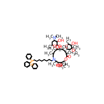 CC[C@H]1OC(=O)[C@H](C)[C@@H](C2C[C@@](C)(OC)[C@@H](O)[C@H](C)O2)[C@H](C)[C@@H](O[C@@H]2O[C@H](C)C[C@H](N(C)C)[C@H]2O)[C@](C)(O)C[C@@H](C)CN(CCCCCCCC[PH](c2ccccc2)(c2ccccc2)c2ccccc2)[C@H](C)[C@@H](O)[C@]1(C)O